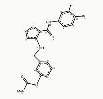 CNC(=O)Oc1cc(CNc2ccsc2C(=O)Nc2ccc(Br)c(C)c2)ccn1